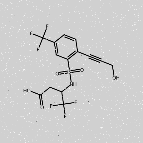 O=C(O)CC(NS(=O)(=O)c1cc(C(F)(F)F)ccc1C#CCO)C(F)(F)F